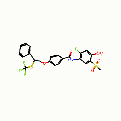 CS(=O)(=O)c1cc(NC(=O)c2ccc(OCC(SC(F)(F)F)c3ccccc3)cc2)c(F)cc1O